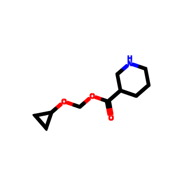 O=C(OCOC1CC1)C1CCCNC1